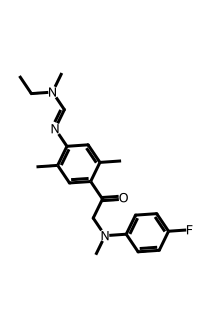 CCN(C)C=Nc1cc(C)c(C(=O)CN(C)c2ccc(F)cc2)cc1C